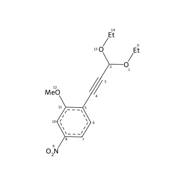 CCOC(C#Cc1ccc([N+](=O)[O-])cc1OC)OCC